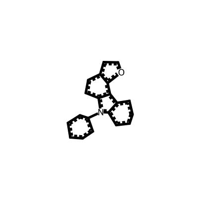 c1ccc(-n2c3ccccc3c3c4occc4ccc32)cc1